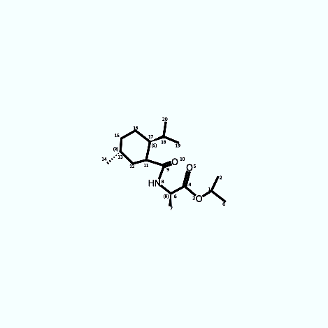 CC(C)OC(=O)[C@@H](C)NC(=O)C1C[C@H](C)CC[C@H]1C(C)C